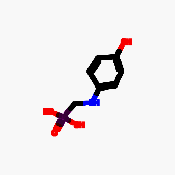 O=P(O)(O)CNc1ccc(O)cc1